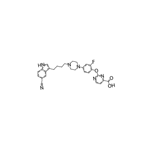 N#Cc1ccc2[nH]cc(CCCCN3CCN(c4ccc(Oc5nccc(C(=O)O)n5)c(F)c4)CC3)c2c1